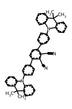 CC1(C)c2ccccc2N(c2ccc(-c3ccc(-c4ccc(N5c6ccccc6C(C)(C)c6ccccc65)cc4)c(C#N)c3C#N)cc2)c2ccccc21